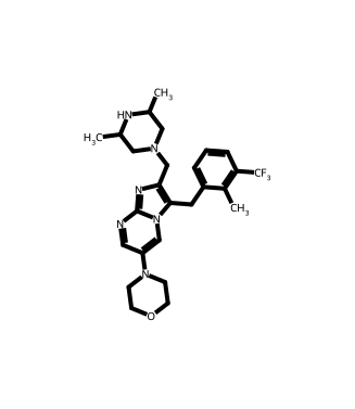 Cc1c(Cc2c(CN3CC(C)NC(C)C3)nc3ncc(N4CCOCC4)cn23)cccc1C(F)(F)F